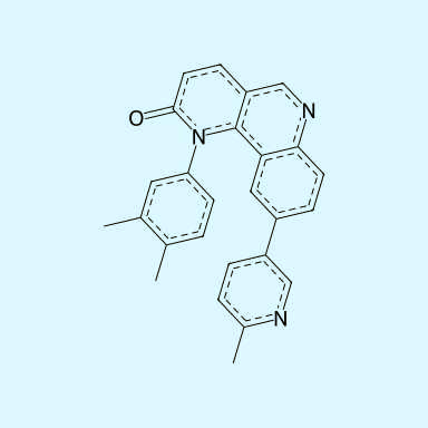 Cc1ccc(-c2ccc3ncc4ccc(=O)n(-c5ccc(C)c(C)c5)c4c3c2)cn1